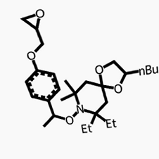 CCCCC1COC2(CC(C)(C)N(OC(C)c3ccc(OCC4CO4)cc3)C(CC)(CC)C2)O1